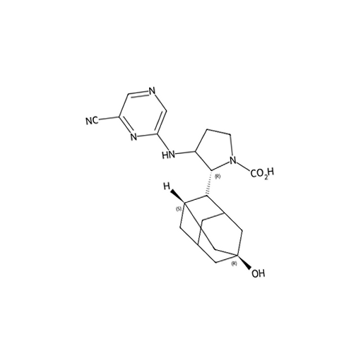 N#Cc1cncc(NC2CCN(C(=O)O)[C@@H]2C2C3CC4C[C@H]2C[C@@](O)(C4)C3)n1